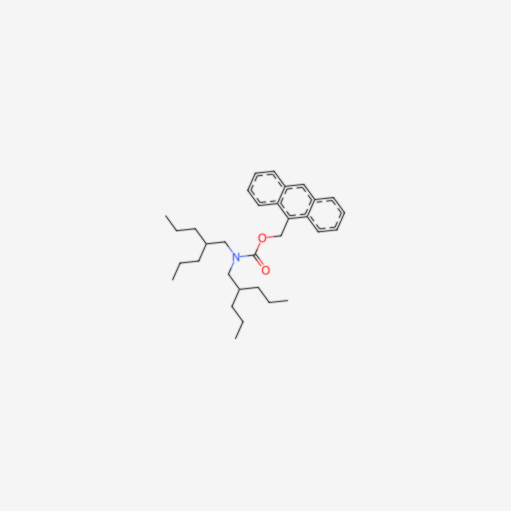 CCCC(CCC)CN(CC(CCC)CCC)C(=O)OCc1c2ccccc2cc2ccccc12